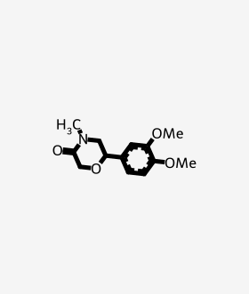 COc1ccc(C2CN(C)C(=O)CO2)cc1OC